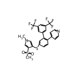 Cn1cc(Sc2ccc(-c3ccncc3)c(-c3cc(C(F)(F)F)cc(C(F)(F)F)c3)c2)c(S(C)(=O)=O)c1